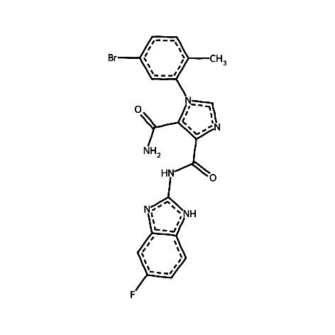 Cc1ccc(Br)cc1-n1cnc(C(=O)Nc2nc3cc(F)ccc3[nH]2)c1C(N)=O